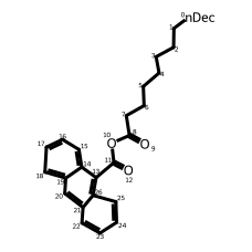 CCCCCCCCCCCCCCCCCC(=O)OC(=O)c1c2ccccc2cc2ccccc12